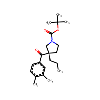 CCC[C@]1(C(=O)c2ccc(C)c(C)c2)CCN(C(=O)OC(C)(C)C)C1